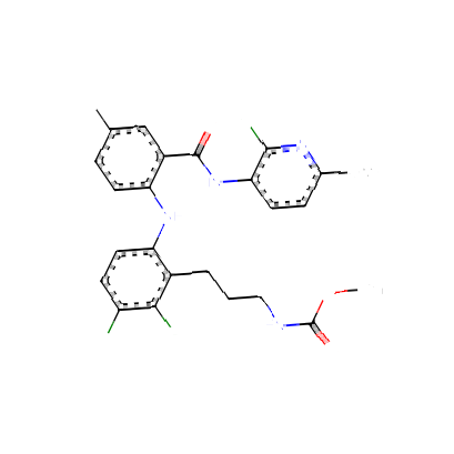 COc1ccc(NC(=O)c2cc(C(F)(F)F)ccc2Nc2ccc(F)c(F)c2CCCNC(=O)OC(C)(C)C)c(Br)n1